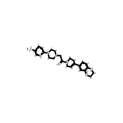 O=C(CN1CCN(c2ccc(C(F)(F)F)cn2)CC1)N1CC=C(c2ccc3c(c2)OCCO3)CC1